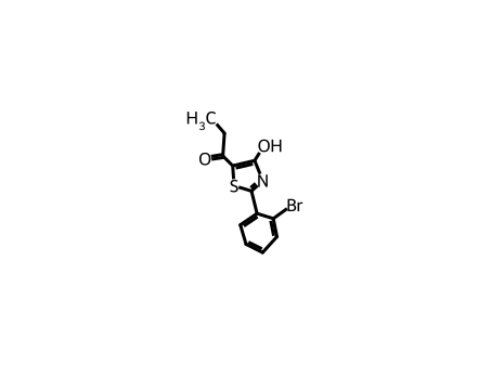 CCC(=O)c1sc(-c2ccccc2Br)nc1O